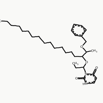 CCCCCCCCCCCCCCCC(OC(CC)n1c(=O)cc[nH]c1=O)C(C)OCc1ccccc1